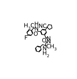 C[C@@H](NC(=O)c1cc(-c2nnc(C(C)(N)Cc3ccccc3)o2)cc(C2(C#N)CCCC2)c1)c1ccc(F)cc1